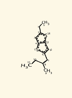 CCc1cc2sc(CC(C)CC)cc2s1